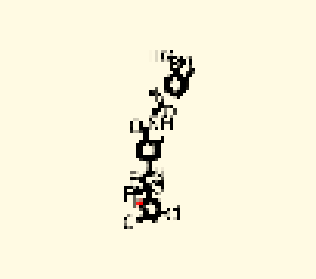 Cc1cc(C2=NOC(c3cc(Cl)cc(Cl)c3)(C(F)(F)F)C2)ccc1C(=O)NCC(=O)N(C)c1ccc2c(c1)B(O)OC2